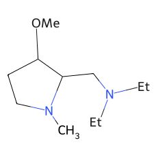 CCN(CC)CC1C(OC)CCN1C